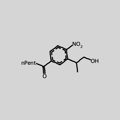 CCCCCC(=O)c1ccc([N+](=O)[O-])c(C(C)CO)c1